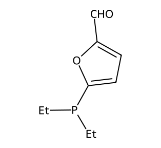 CCP(CC)c1ccc(C=O)o1